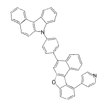 c1ccc2c(c1)ccc1c2c2ccccc2n1-c1ccc(-c2cc3oc4cccc(-c5ccncc5)c4c3c3ccccc23)cc1